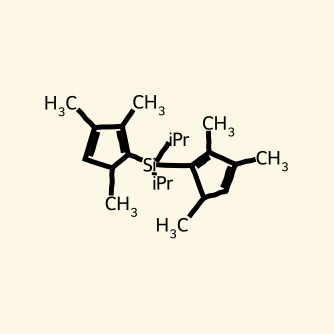 CC1=CC(C)C([Si](C2=C(C)C(C)=CC2C)(C(C)C)C(C)C)=C1C